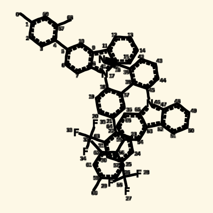 Cc1ccc(-c2ccc3c(c2)c2ccccc2n3-c2ccc(-c3ccc(C(F)(F)F)cc3C(F)(F)F)cc2-c2c(C#N)cccc2-n2c3ccccc3c3cc(-c4ccc(C)cc4C)ccc32)c(C)c1